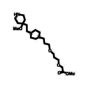 COC(=O)COCCCOCCCN1CCN(CCC2(OC)CCNCC2)CC1